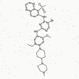 CCc1cc(Nc2ncc(Br)c(Nc3ccc4nccnc4c3S(C)(=O)=O)n2)c(OC)cc1N1CCC(N2CCN(C)CC2)CC1